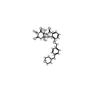 [2H]N1C(=O)CC([2H])([2H])C([2H])(N2Cc3c(OCc4ccc(CN5CCOCC5)cc4)cccc3C2=O)C1=O